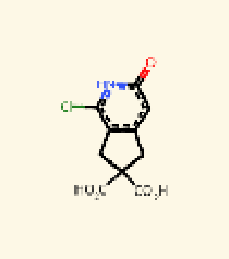 O=C(O)C1(C(=O)O)Cc2cc(=O)[nH]c(Cl)c2C1